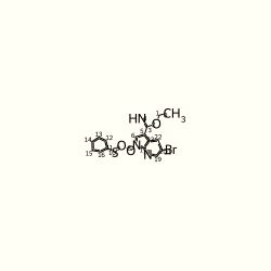 CCOC(=N)c1cn(OOSc2ccccc2)c2ncc(Br)cc12